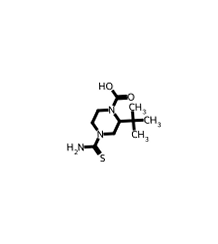 CC(C)(C)C1CN(C(N)=S)CCN1C(=O)O